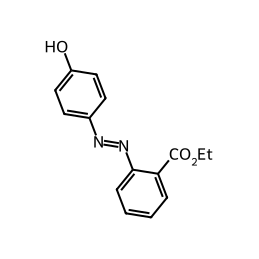 CCOC(=O)c1ccccc1N=Nc1ccc(O)cc1